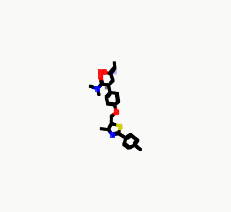 C/C=C(\O)C[C@H](C(=O)N(C)C)c1ccc(OCC2SC(c3ccc(C)cc3)=NC2C)cc1